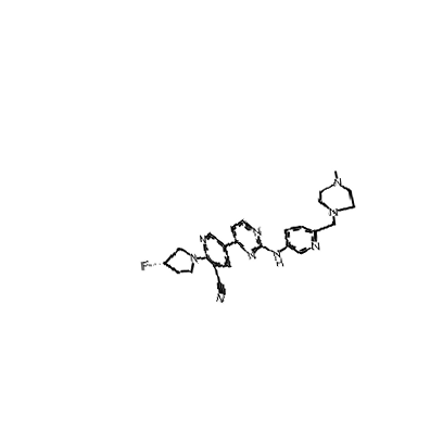 CN1CCN(Cc2ccc(Nc3nccc(-c4cnc(N5CC[C@H](F)C5)c(C#N)c4)n3)cn2)CC1